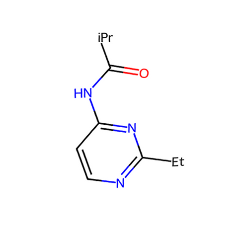 CCc1nccc(NC(=O)C(C)C)n1